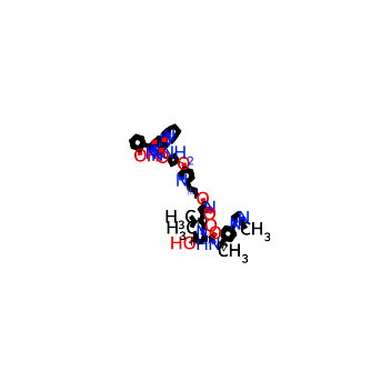 Cc1nccn1-c1ccc([C@H](C)NC(=O)[C@@H]2C[C@@H](O)CN2C(=O)[C@@H](c2cc(OC/C=C/c3ccc(O[C@H]4C[C@H](Oc5cc(N6C7CCC6CN(c6cc(-c8ccccc8O)nnc6N)C7)ccn5)C4)cn3)no2)C(C)C)cc1